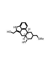 CCCN1CC(CSC)C[C@@H]2c3cccc4[nH]c(CO)c(c34)C[C@H]21